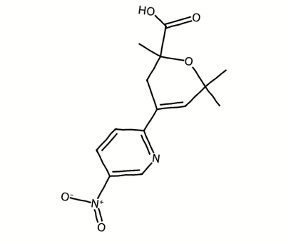 CC1(C)C=C(c2ccc([N+](=O)[O-])cn2)CC(C)(C(=O)O)O1